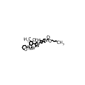 CCCCOC(=O)N1CC2(CC(n3nc(Br)c(-c4c(Cl)c(C)cc5c4cnn5C4CCCCO4)c3C)C2)C1